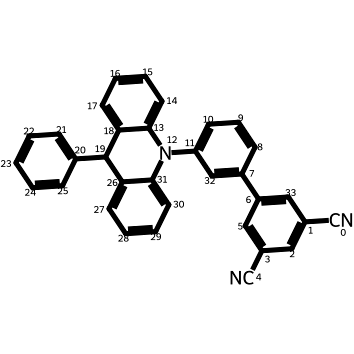 N#Cc1cc(C#N)cc(-c2cccc(N3c4ccccc4C(c4ccccc4)c4ccccc43)c2)c1